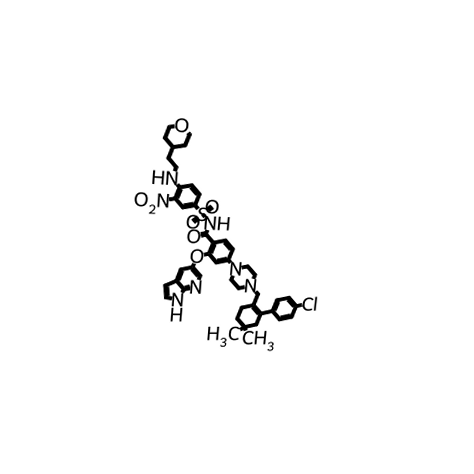 CC1(C)CCC(CN2CCN(c3ccc(C(=O)NS(=O)(=O)c4ccc(NCCC5CCOCC5)c([N+](=O)[O-])c4)c(Oc4cnc5[nH]ccc5c4)c3)CC2)=C(c2ccc(Cl)cc2)C1